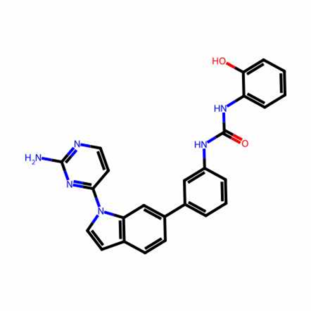 Nc1nccc(-n2ccc3ccc(-c4cccc(NC(=O)Nc5ccccc5O)c4)cc32)n1